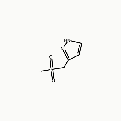 [CH2]S(=O)(=O)Cc1cc[nH]n1